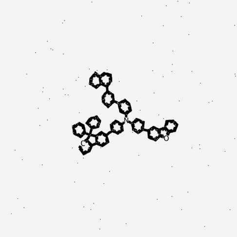 c1ccc(C2(c3ccccc3)c3ccccc3-c3ccc(-c4ccc(N(c5ccc(-c6ccc7oc8ccccc8c7c6)cc5)c5cccc(-c6cccc(-c7cccc8ccccc78)c6)c5)cc4)cc32)cc1